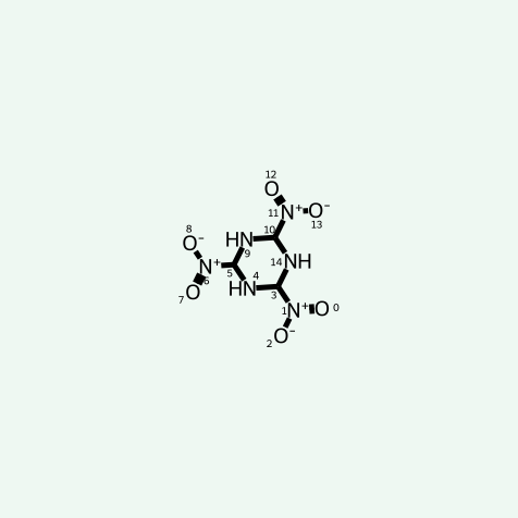 O=[N+]([O-])C1NC([N+](=O)[O-])NC([N+](=O)[O-])N1